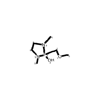 COC[P]1(O)N(C)CCN1C